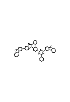 c1ccc(-c2nc(-c3ccc4oc5ccccc5c4c3)nc(-c3ccc4c(c3)c3ccccc3c3nc5cc(-c6ccc7oc8ccccc8c7c6)ccn5c43)n2)cc1